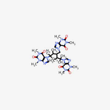 CC(C(Cn1cnc2c1c(=O)n(C)c(=O)n2C)C(C)C(C)(C)n1cnc2c1c(=O)n(C)c(=O)n2C)C(C)(C)n1cnc2c1c(=O)n(C)c(=O)n2C